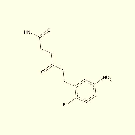 [NH]C(=O)CCC(=O)CCc1cc([N+](=O)[O-])ccc1Br